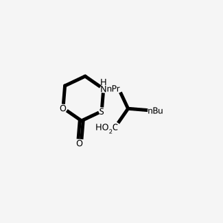 CCCCC(CCC)C(=O)O.O=C1OCCNS1